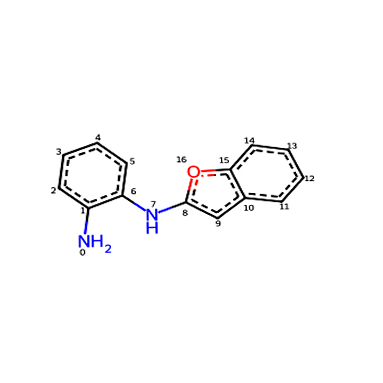 Nc1ccccc1Nc1cc2ccccc2o1